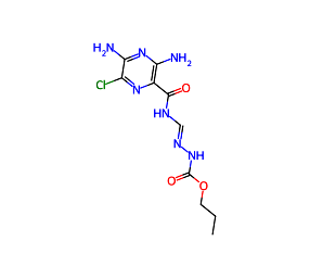 CCCOC(=O)NN=CNC(=O)c1nc(Cl)c(N)nc1N